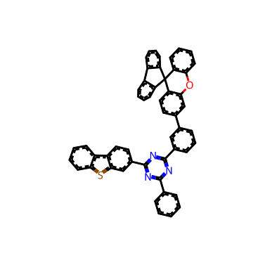 c1ccc(-c2nc(-c3cccc(-c4ccc5c(c4)Oc4ccccc4C54c5ccccc5-c5ccccc54)c3)nc(-c3ccc4c(c3)sc3ccccc34)n2)cc1